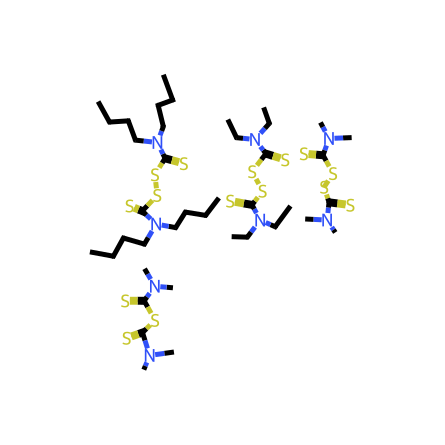 CCCCN(CCCC)C(=S)SSC(=S)N(CCCC)CCCC.CCN(CC)C(=S)SSC(=S)N(CC)CC.CN(C)C(=S)SC(=S)N(C)C.CN(C)C(=S)SSC(=S)N(C)C